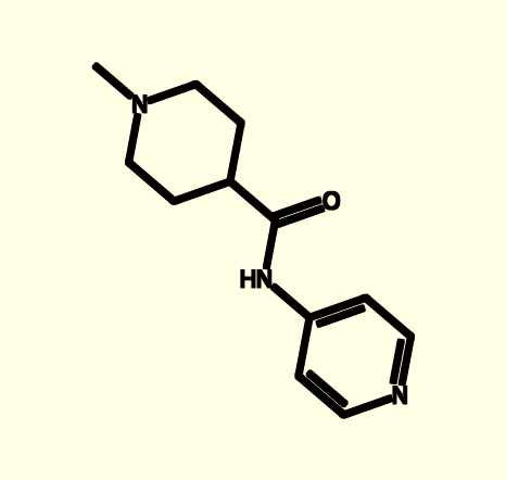 CN1CCC(C(=O)Nc2ccncc2)CC1